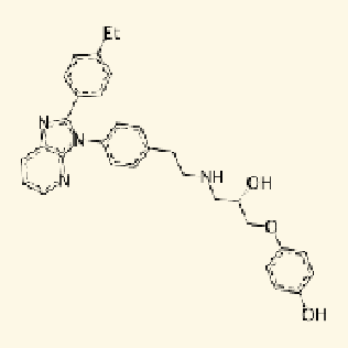 CCc1ccc(-c2nc3cccnc3n2-c2ccc(CCNC[C@H](O)COc3ccc(O)cc3)cc2)cc1